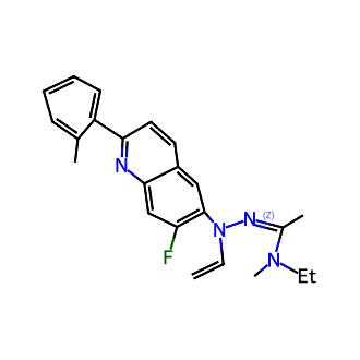 C=CN(/N=C(/C)N(C)CC)c1cc2ccc(-c3ccccc3C)nc2cc1F